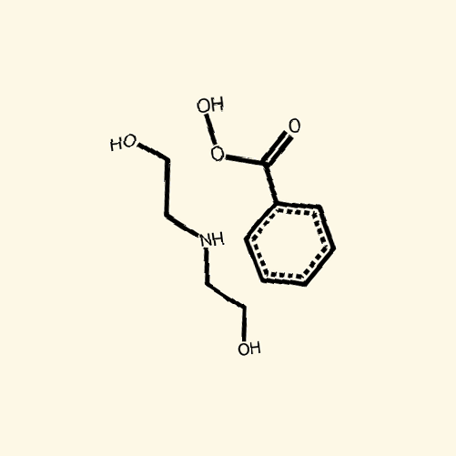 O=C(OO)c1ccccc1.OCCNCCO